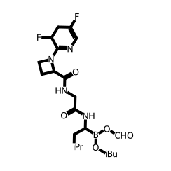 CCC(C)OB(OC=O)C(CC(C)C)NC(=O)CNC(=O)C1CCN1C1=NC=C(F)CC1F